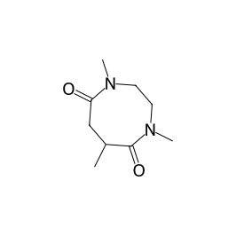 CC1CC(=O)N(C)CCN(C)C1=O